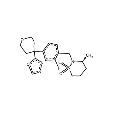 C[C@H]1CCCS(=O)(=O)N1Cc1ccc(C2(c3nnco3)CCOCC2)cc1F